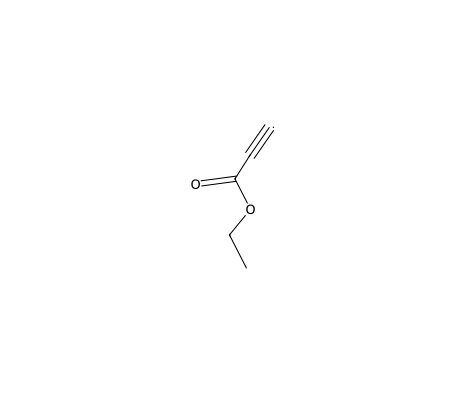 [C]#CC(=O)OCC